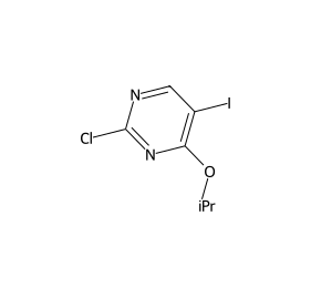 CC(C)Oc1nc(Cl)ncc1I